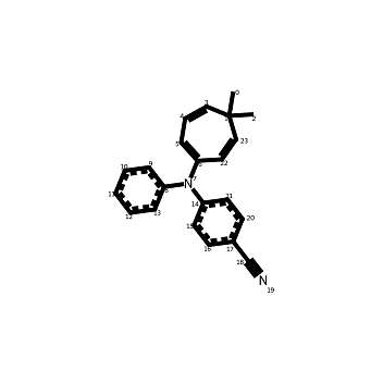 CC1(C)C=CC=C(N(c2ccccc2)c2ccc(C#N)cc2)C=C1